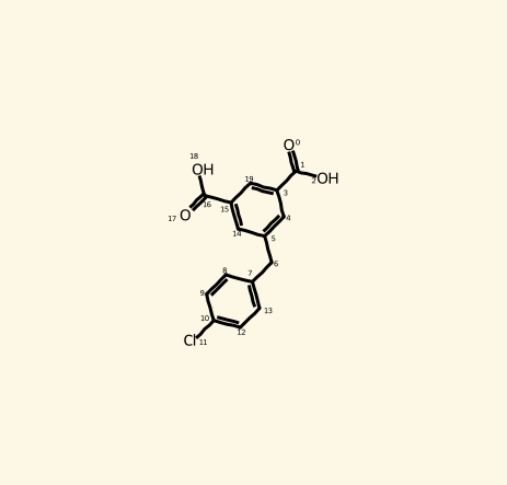 O=C(O)c1cc(Cc2ccc(Cl)cc2)cc(C(=O)O)c1